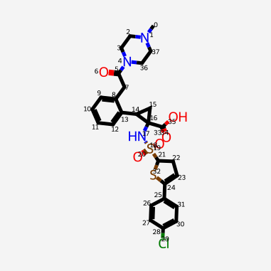 CN1CCN(C(=O)Cc2ccccc2C2CC2(NS(=O)(=O)C2CC=C(c3ccc(Cl)cc3)S2)C(=O)O)CC1